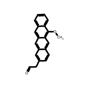 COc1c2ccccc2cc2cc3cc(CC=O)ccc3cc12